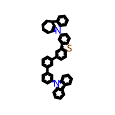 C1=CC2=CC(C=C1)c1ccccc1N2c1ccc2sc3ccc(-c4cccc(-c5cccc(-n6c7ccccc7c7ccccc76)c5)c4)cc3c2c1